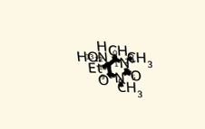 C=C1N(C)C(=O)N(C)C(=O)C1(CC)NO